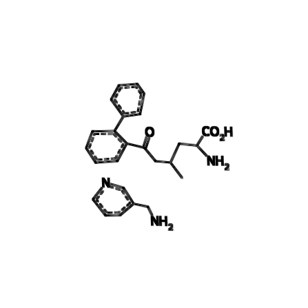 CC(CC(=O)c1ccccc1-c1ccccc1)CC(N)C(=O)O.NCc1cccnc1